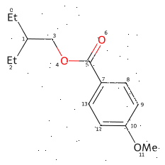 CCC(CC)COC(=O)c1ccc(OC)cc1